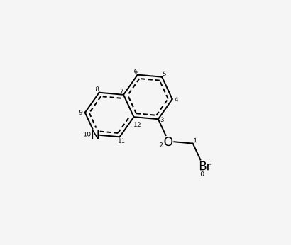 BrCOc1cccc2ccncc12